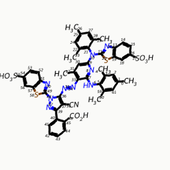 Cc1cc(C)c(Nc2nc(N(c3nc4ccc(S(=O)(=O)O)cc4s3)c3c(C)cc(C)cc3C)cc(C)c2N=Nc2c(C#N)c(-c3ccccc3C(=O)O)nn2-c2nc3ccc(S(=O)(=O)O)cc3s2)c(C)c1